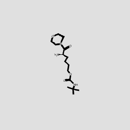 CC(C)(C)NC(=O)OCCCC[C@@H](N)C(=O)N1CCOCC1